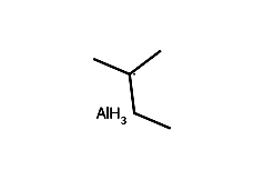 CC[C](C)C.[AlH3]